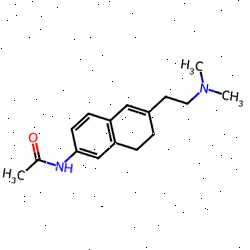 CC(=O)Nc1ccc2c(c1)CCC(CCN(C)C)=C2